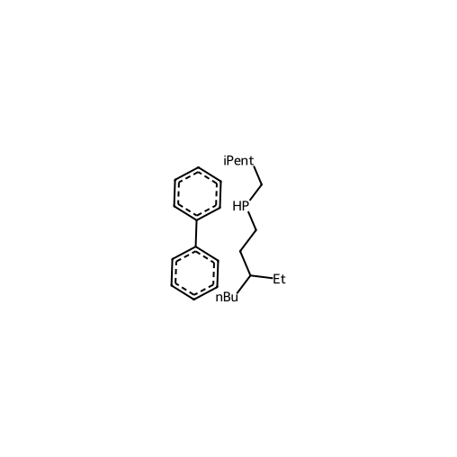 CCCCC(CC)CCPCC(C)CCC.c1ccc(-c2ccccc2)cc1